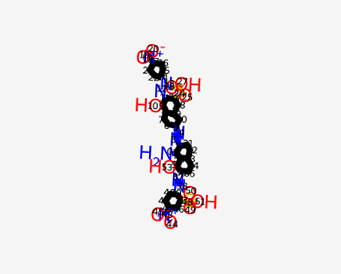 Nc1c(/N=N/c2ccc3c(O)c(/N=N/c4ccc([N+](=O)[O-])cc4)c(S(=O)(=O)O)cc3c2)ccc2ccc(/N=N/c3ccc([N+](=O)[O-])cc3S(=O)(=O)O)c(O)c12